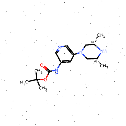 C[C@@H]1CN(c2cncc(NC(=O)OC(C)(C)C)c2)C[C@H](C)N1